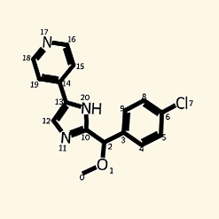 COC(c1ccc(Cl)cc1)c1ncc(-c2ccncc2)[nH]1